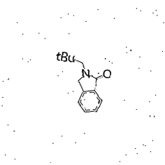 CC(C)(C)CN1Cc2ccccc2C1=O